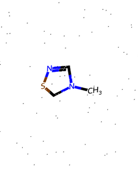 CN1C=NSC1